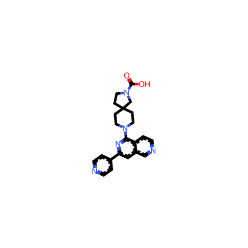 O=C(O)N1CCC2(CCN(c3nc(-c4ccncc4)cc4cnccc34)CC2)C1